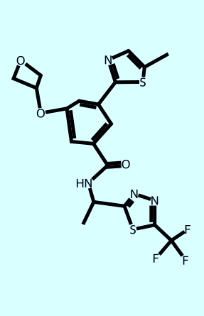 Cc1cnc(-c2cc(OC3COC3)cc(C(=O)NC(C)c3nnc(C(F)(F)F)s3)c2)s1